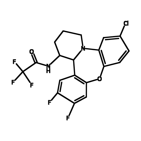 O=C(NC1CCCN2c3cc(Cl)ccc3Oc3cc(F)c(F)cc3C12)C(F)(F)F